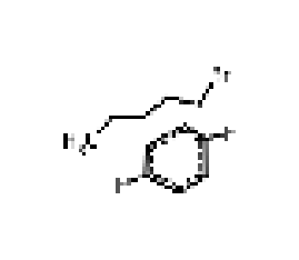 CCCCCBr.Fc1ccc(F)cc1